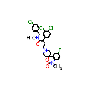 CN(Cc1ccc(Cl)cc1)C(=O)[C@H](CCN1CCC2(CC1)OC(=O)N(C)c1ccc(F)cc12)c1ccc(Cl)c(Cl)c1